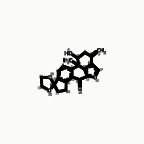 C=C1CC(O)C2(C)c3ccc4c(c3C(=O)c3occ1c32)CCC41OCCO1